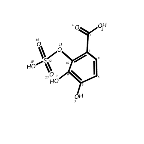 O=C(O)c1ccc(O)c(O)c1OS(=O)(=O)O